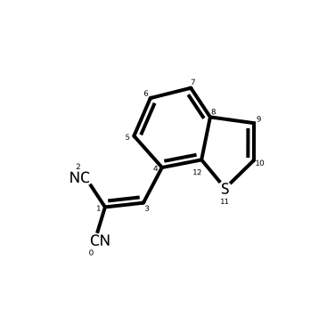 N#CC(C#N)=Cc1cccc2ccsc12